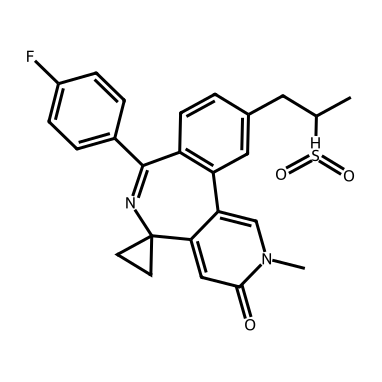 CC(Cc1ccc2c(c1)-c1cn(C)c(=O)cc1C1(CC1)N=C2c1ccc(F)cc1)[SH](=O)=O